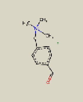 C[N+](C)(C)Cc1ccc(C=O)cc1.[F-]